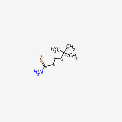 CC(C)(C)CCCC(N)=S